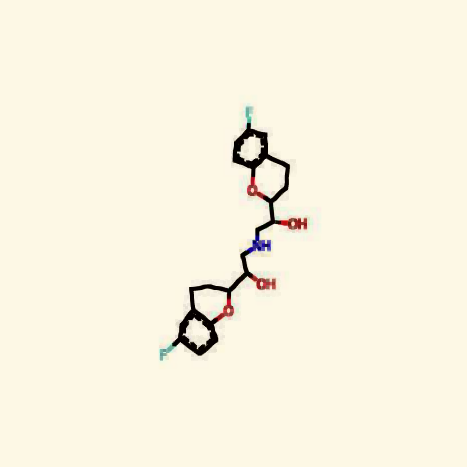 OC(CNC[C@H](O)C1CCc2cc(F)ccc2O1)C1CCc2cc(F)ccc2O1